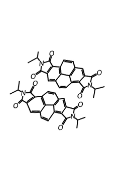 CC(C)n1c(=O)c2cc3ccc4c5c(=O)n(C(C)C)c(=O)c5cc5ccc(c2c1=O)c3c54.CC(C)n1c(=O)c2cc3ccc4c5c(=O)n(C(C)C)c(=O)c5cc5ccc(c2c1=O)c3c54